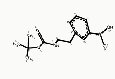 CC(C)(C)OC(=O)NCCc1cccc(B(O)O)c1